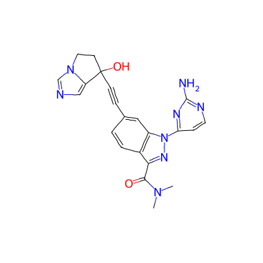 CN(C)C(=O)c1nn(-c2ccnc(N)n2)c2cc(C#CC3(O)CCn4cncc43)ccc12